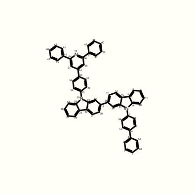 c1ccc(-c2ccc(-n3c4ccccc4c4ccc(-c5ccc6c7ccccc7n(-c7ccc(-c8cc(-c9ccccc9)nc(-c9ccccc9)c8)cc7)c6c5)cc43)cc2)cc1